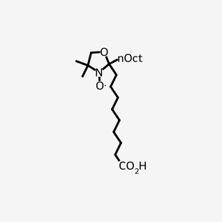 CCCCCCCCC1(CCCCCCCCC(=O)O)OCC(C)(C)N1[O]